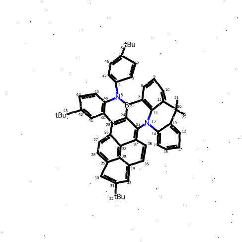 CC(C)(C)c1ccc(N2B3c4cccc5c4N(c4ccccc4C5(C)C)c4c3c(c3ccc5cc(C(C)(C)C)cc6ccc4c3c56)-c3cc(C(C)(C)C)ccc32)cc1